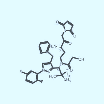 CC(C)(C)[C@H](c1nn(-c2cc(F)ccc2F)cc1Cc1ccccc1)N(CC[C@H](N)C(=O)CN1C(=O)C=CC1=O)C(=O)CO